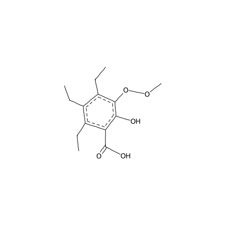 CCc1c(CC)c(OOC)c(O)c(C(=O)O)c1CC